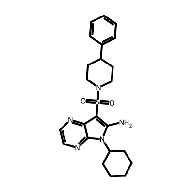 Nc1c(S(=O)(=O)N2CCC(c3ccccc3)CC2)c2nccnc2n1C1CCCCC1